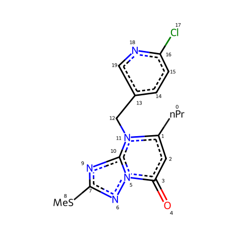 CCCc1cc(=O)n2nc(SC)nc2n1Cc1ccc(Cl)nc1